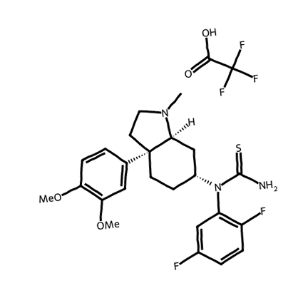 COc1ccc([C@@]23CC[C@@H](N(C(N)=S)c4cc(F)ccc4F)C[C@@H]2N(C)CC3)cc1OC.O=C(O)C(F)(F)F